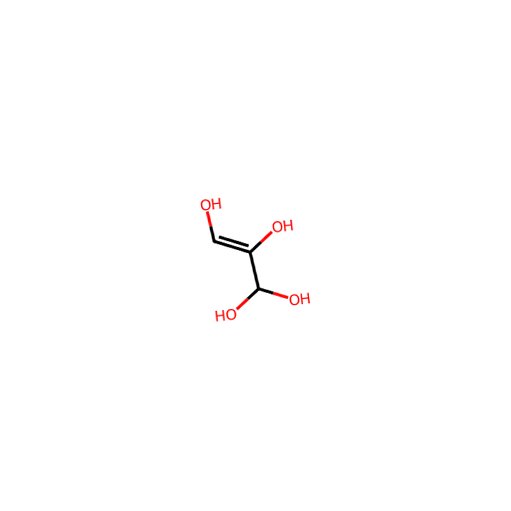 OC=C(O)C(O)O